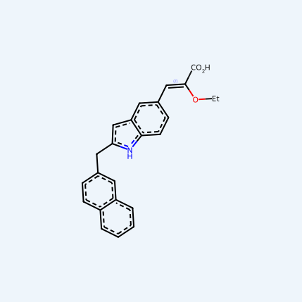 CCO/C(=C\c1ccc2[nH]c(Cc3ccc4ccccc4c3)cc2c1)C(=O)O